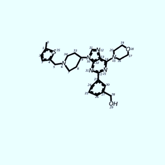 Cc1ccc(CN2CCC(n3cnc4c(N5CCOCC5)nc(-c5cccc(CO)c5)nc43)CC2)s1